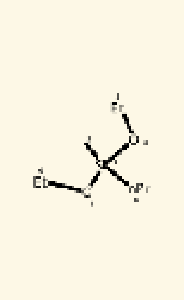 CCC[Si](C)(OCC)OCC